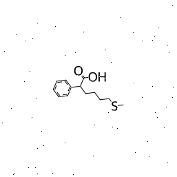 CSCCCCC(C(=O)O)c1ccccc1